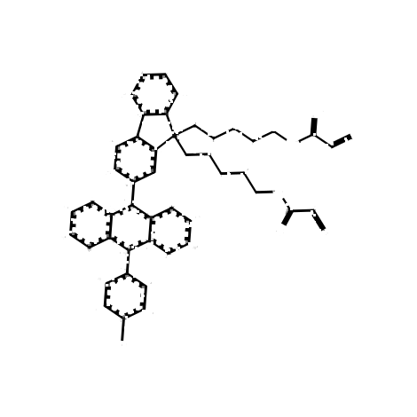 C=CC(=O)OCCCCCC1(CCCCCOC(=O)C=C)c2ccccc2-c2ccc(-c3c4ccccc4c(-c4ccc(C)cc4)c4ccccc34)cc21